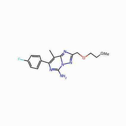 COCCOCc1nc2c(C)c(-c3ccc(F)cc3)nc(N)n2n1